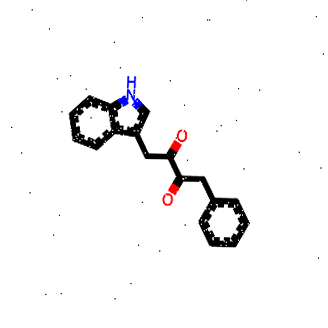 O=C(Cc1ccccc1)C(=O)Cc1c[nH]c2ccccc12